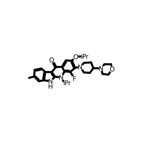 Cc1ccc2c(c1)[nH]c1c2c(=O)c2cc(OC(C)C)c(N3CCC(N4CCOCC4)CC3)c(F)c2n1C(C)C